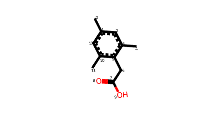 Cc1cc(C)c(CC(=O)O)c(C)c1